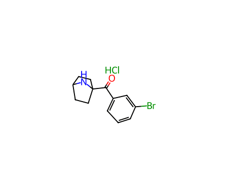 Cl.O=C(c1cccc(Br)c1)C12CCC(CC1)N2